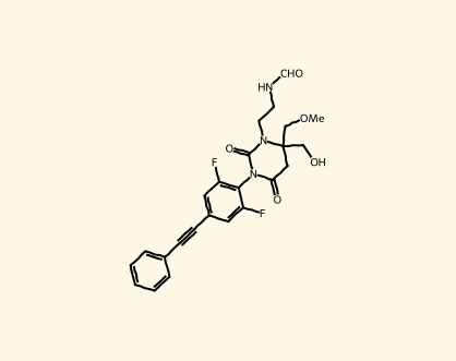 COCC1(CO)CC(=O)N(c2c(F)cc(C#Cc3ccccc3)cc2F)C(=O)N1CCNC=O